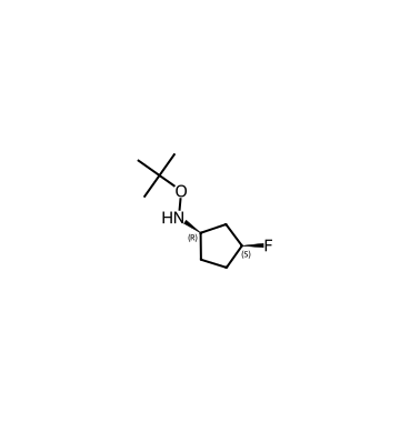 CC(C)(C)ON[C@@H]1CC[C@H](F)C1